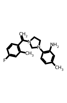 C=C(c1ccc(F)cc1C)N1CCN(c2ccc(C)cc2N)C1